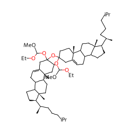 CCOC(OC)OC1(OC2(OC(OC)OCC)CC[C@@]3(C)C(=CCC4C3CC[C@@]3(C)C4CC[C@@H]3[C@H](C)CCCC(C)C)C2)CC[C@@]2(C)C(=CCC3C2CC[C@@]2(C)C3CC[C@@H]2[C@H](C)CCCC(C)C)C1